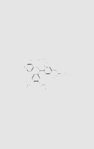 CC.CC(O)Cc1ccc(C(Cc2ccncc2)c2ccc(OC(F)F)c(OC(F)F)c2)nc1